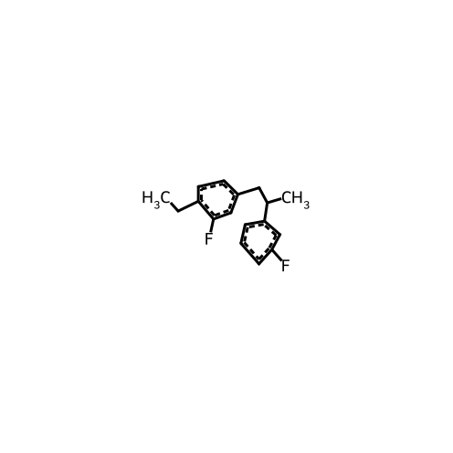 CCc1ccc(CC(C)c2cccc(F)c2)cc1F